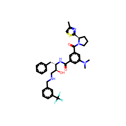 Cc1csc([C@H]2CCCN2C(=O)c2cc(C(=O)N[C@@H](Cc3ccccc3)[C@@H](O)CNCc3cccc(C(F)(F)F)c3)cc(N(C)C)c2)n1